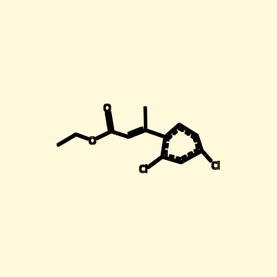 CCOC(=O)C=C(C)c1ccc(Cl)cc1Cl